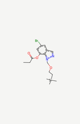 CCC(=O)Oc1cc(Br)cc2cnn(COCC[Si](C)(C)C)c12